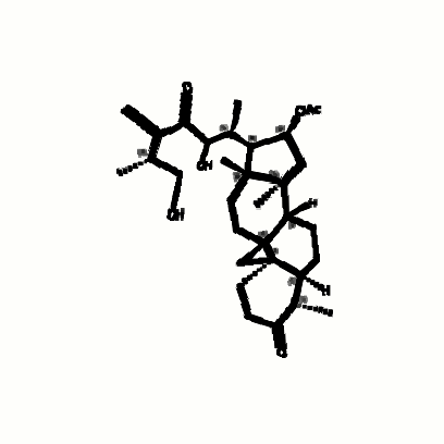 C=C(C(=O)C(O)[C@@H](C)[C@H]1[C@@H](OC(C)=O)C[C@@]2(C)[C@@H]3CC[C@H]4[C@H](C)C(=O)CC[C@@]45C[C@@]35CC[C@]12C)[C@@H](C)CO